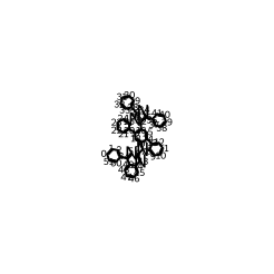 c1ccc(-c2nc(-n3c4ccccc4c4cc5c(cc43)c3ccccc3n3c(-c4ccccc4)nc(-c4ccccc4)c53)nc3ccccc23)cc1